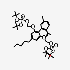 C=C(C)c1ccc(C)cc1-c1c(OCOP(=O)(OC(C)(C)C)OC(C)(C)C)cc(CCCCC)cc1OCOP(=O)(OC(C)(C)C)OC(C)(C)C